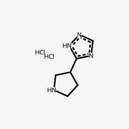 Cl.Cl.c1n[nH]c(C2CCNC2)n1